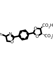 CC(C)C1COC(c2ccc(C3O[C@@H](C(=O)O)[C@H](C(=O)O)O3)cc2)=N1